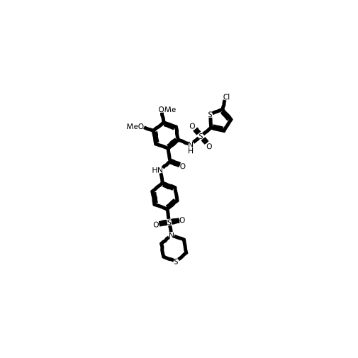 COc1cc(NS(=O)(=O)c2ccc(Cl)s2)c(C(=O)Nc2ccc(S(=O)(=O)N3CCSCC3)cc2)cc1OC